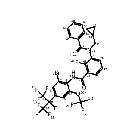 O=C(Nc1c(Br)cc(C(F)(C(F)(F)F)C(F)(F)F)cc1OC(F)(F)F)c1cccc(N(CC2CC2)C(=O)c2ccccc2)c1F